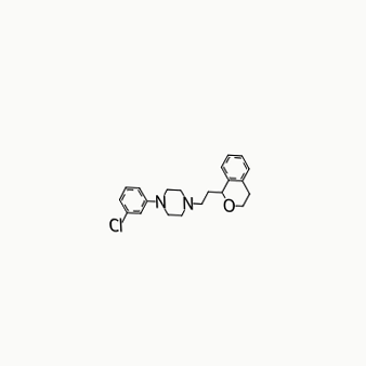 Clc1cccc(N2CCN(CCC3OCCc4ccccc43)CC2)c1